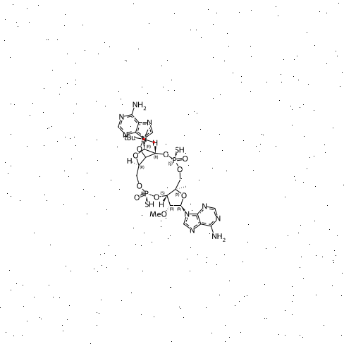 CO[C@H]1[C@H](n2cnc3c(N)ncnc32)O[C@]2(C)CO[P@](=O)(S)O[C@@H]3C(O[Si](C)(C)C(C)(C)C)[C@@H](CO[P@](=O)(S)O[C@@H]12)O[C@H]3n1cnc2c(N)ncnc21